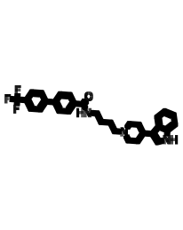 O=C(NCCCCN1CCC(c2c[nH]c3ccccc23)CC1)c1ccc(-c2ccc(C(F)(F)F)cc2)cc1